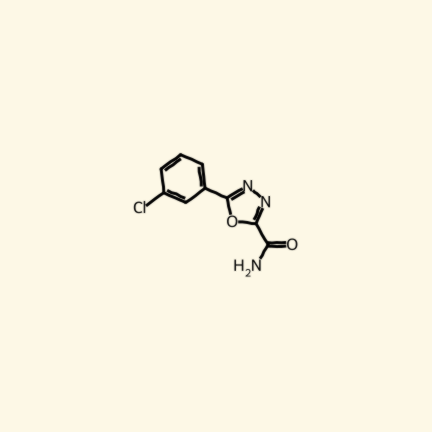 NC(=O)c1nnc(-c2cccc(Cl)c2)o1